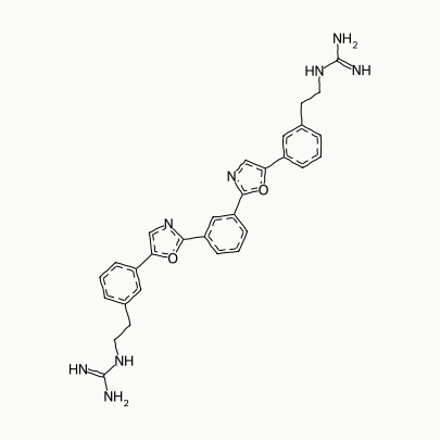 N=C(N)NCCc1cccc(-c2cnc(-c3cccc(-c4ncc(-c5cccc(CCNC(=N)N)c5)o4)c3)o2)c1